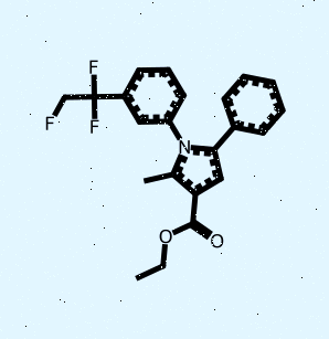 CCOC(=O)c1cc(-c2ccccc2)n(-c2cccc(C(F)(F)CF)c2)c1C